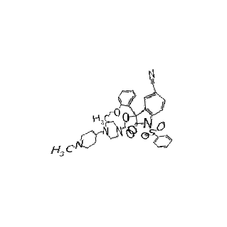 CCOc1ccccc1C1(OC(=O)N2CCN(C3CCN(C)CC3)CC2)C(=O)N(S(=O)(=O)c2ccccc2)c2ccc(C#N)cc21